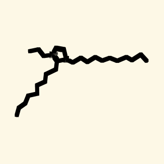 CCCCCCCCCCCn1cc[n+](CCC)c1CCCCCCCCC